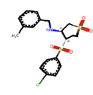 Cc1cccc(CN[C@H]2CS(=O)(=O)C[C@@H]2S(=O)(=O)c2ccc(Cl)cc2)c1